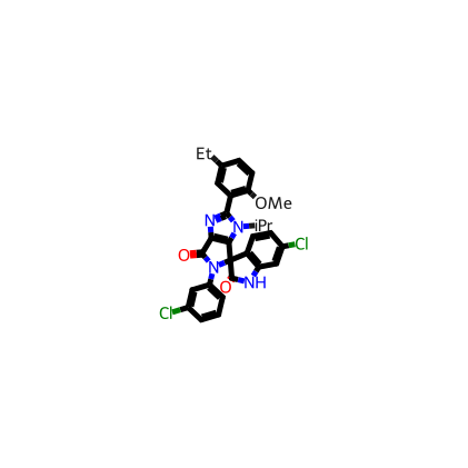 CCc1ccc(OC)c(-c2nc3c(n2C(C)C)C2(C(=O)Nc4cc(Cl)ccc42)N(c2cccc(Cl)c2)C3=O)c1